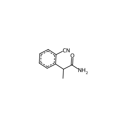 CC(C(N)=O)c1ccccc1C#N